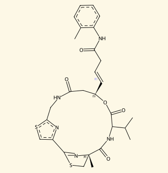 Cc1ccccc1NC(=O)C/C=C/[C@@H]1CC(=O)NCc2nc(cs2)C2=N[C@@](C)(CS2)C(=O)NC(C(C)C)C(=O)O1